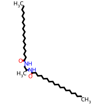 CCCCCCCCCCCCCCCCCCC(=O)NCC(C)NC(=O)CCCCCCCCCCCCCCCCCC